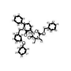 C[C@@H](C(=O)Nc1ccc(-c2ccccc2)n(Cc2cccc(Oc3ccccc3)c2)c1=O)N(C)C(=O)OCc1ccccc1